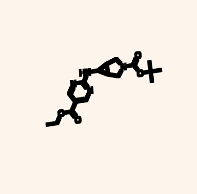 CCOC(=O)c1cnc(NC2C3CN(C(=O)OC(C)(C)C)CC32)nc1